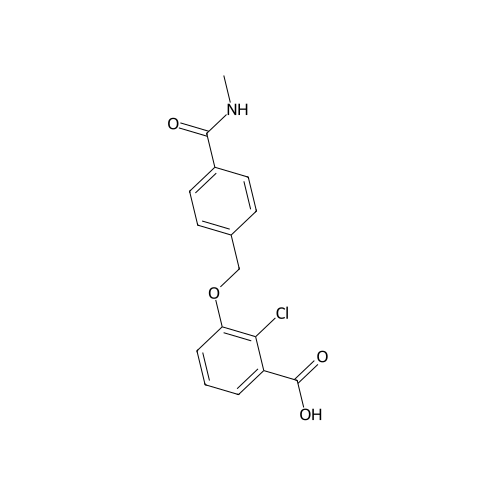 CNC(=O)c1ccc(COc2cccc(C(=O)O)c2Cl)cc1